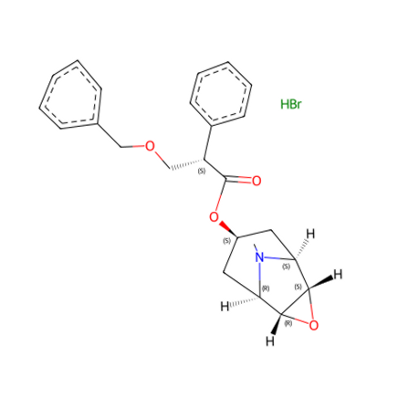 Br.CN1[C@@H]2C[C@@H](OC(=O)[C@H](COCc3ccccc3)c3ccccc3)C[C@H]1[C@@H]1O[C@@H]12